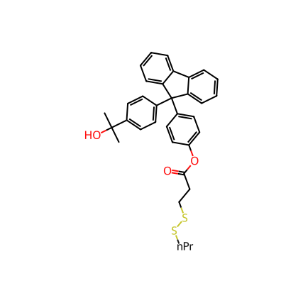 CCCSSCCC(=O)Oc1ccc(C2(c3ccc(C(C)(C)O)cc3)c3ccccc3-c3ccccc32)cc1